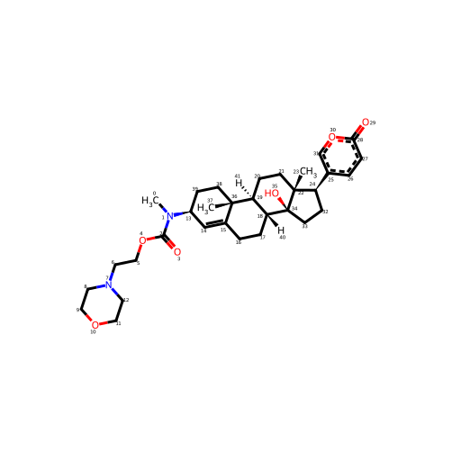 CN(C(=O)OCCN1CCOCC1)[C@@H]1C=C2CC[C@@H]3[C@H](CC[C@]4(C)[C@@H](c5ccc(=O)oc5)CC[C@]34O)[C@@]2(C)CC1